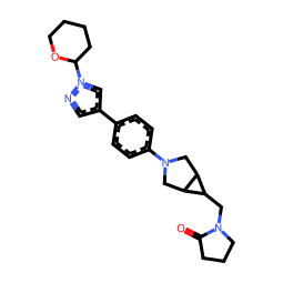 O=C1CCCN1CC1C2CN(c3ccc(-c4cnn(C5CCCCO5)c4)cc3)CC12